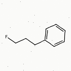 FCC[CH]c1ccccc1